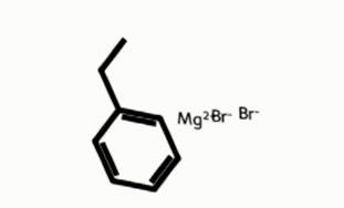 CCc1ccccc1.[Br-].[Br-].[Mg+2]